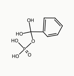 O=P(O)(O)OC(O)(O)c1ccccc1